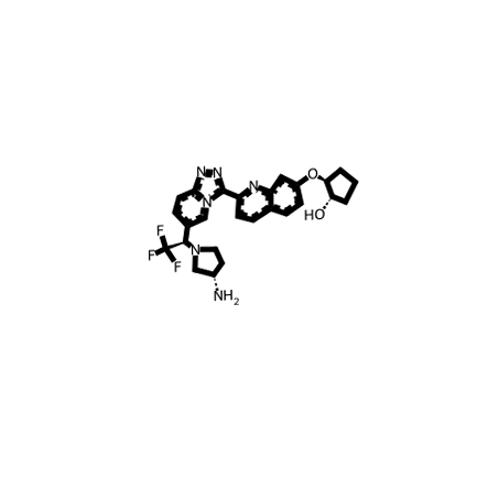 N[C@H]1CCN([C@H](c2ccc3nnc(-c4ccc5ccc(O[C@H]6CCC[C@@H]6O)cc5n4)n3c2)C(F)(F)F)C1